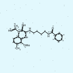 COc1c(C)ccc2c1nc(NCCCCNC(=O)c1ccccc1)c(=N)n2C(C)=N